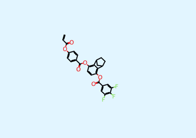 C=CC(=O)Oc1ccc(C(=O)Oc2ccc(OC(=O)c3cc(F)c(F)c(F)c3)c3c2C2CCC3C2)cc1